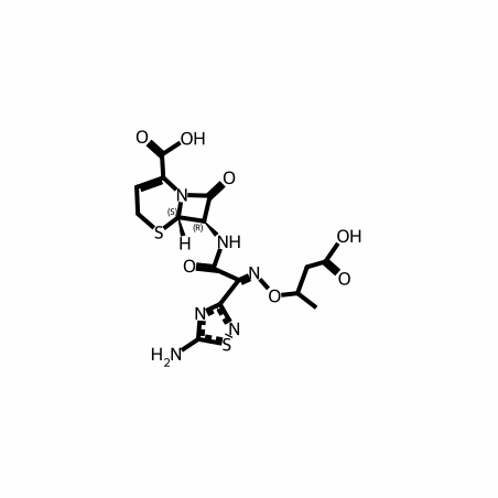 CC(CC(=O)O)ON=C(C(=O)N[C@@H]1C(=O)N2C(C(=O)O)=CCS[C@@H]12)c1nsc(N)n1